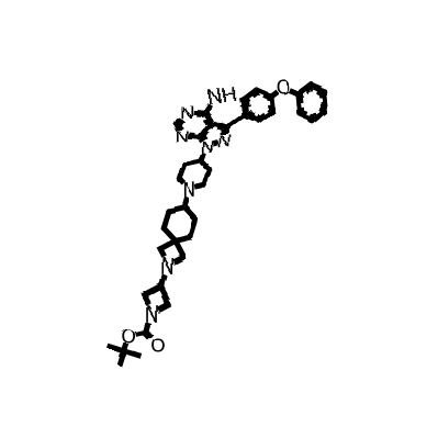 CC(C)(C)OC(=O)N1CC(N2CC3(CCC(N4CCC(n5nc(-c6ccc(Oc7ccccc7)cc6)c6c(N)ncnc65)CC4)CC3)C2)C1